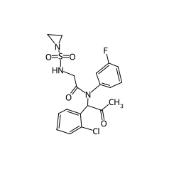 CC(=O)C(c1ccccc1Cl)N(C(=O)CNS(=O)(=O)N1CC1)c1cccc(F)c1